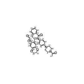 CC(=O)N1CCN(c2ccc(N3C(=O)c4ccccc4[C@@H](C(=O)O)[C@@H]3c3ccc4c(c3)OCCO4)cc2)CC1